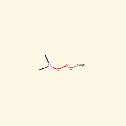 COOOOP(C)C